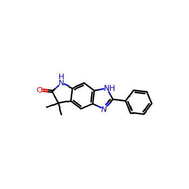 CC1(C)C(=O)Nc2cc3[nH]c(-c4ccccc4)nc3cc21